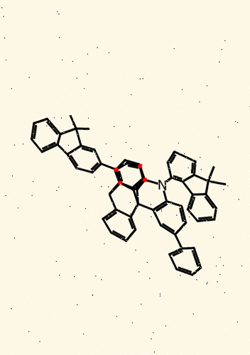 CC1(C)c2ccccc2-c2ccc(-c3ccc4c5c3C3c6ccccc6C5(c5ccccc53)c3cc(-c5ccccc5)ccc3N4c3cccc4c3-c3ccccc3C4(C)C)cc21